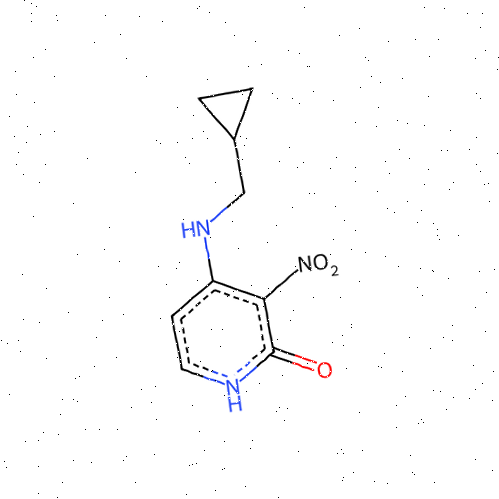 O=c1[nH]ccc(NCC2CC2)c1[N+](=O)[O-]